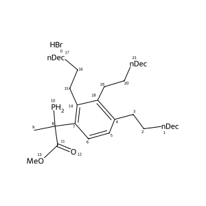 Br.CCCCCCCCCCCCc1ccc(C(C)(P)C(=O)OC)c(CCCCCCCCCCCC)c1CCCCCCCCCCCC